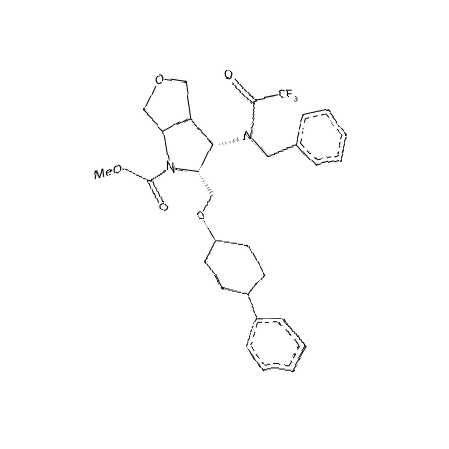 COC(=O)N1C2COCC2[C@H](N(Cc2ccccc2)C(=O)C(F)(F)F)[C@@H]1COC1CCC(c2ccccc2)CC1